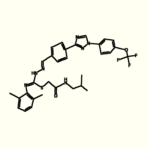 Cc1cccc(C)c1/N=C(/N/N=C/c1ccc(-c2ncn(-c3ccc(OC(F)(F)F)cc3)n2)cc1)SCC(=O)NCC(C)C